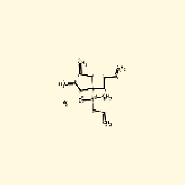 C=CCCC(CC=C)(CC=C)[N+](C)(CC)CC=C.[Br-]